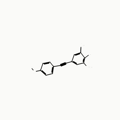 COc1cc(C#Cc2ccc(OC(F)(F)F)cc2)cc(OC)c1Br